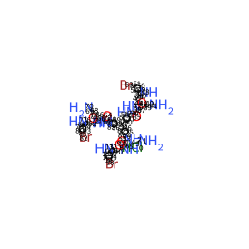 Cl.NCCCC[C@H](NC(=O)Cc1c[nH]c2ccc(Br)cc12)C(=O)Nc1ccc(C(c2ccc(NC(=O)[C@H](CCCCN)NC(=O)Cc3c[nH]c4ccc(Br)cc34)cc2)c2ccc(NC(=O)[C@H](CCCCN)NC(=O)Cc3c[nH]c4ccc(Br)cc34)cc2)cc1